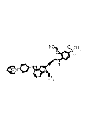 CS(=O)(=O)c1ccc(NCC#Cc2cc3c(N[C@H]4CC[C@@H](N5CC6CC(C5)O6)CC4)cccc3n2CC(F)(F)F)c(OCC#N)c1